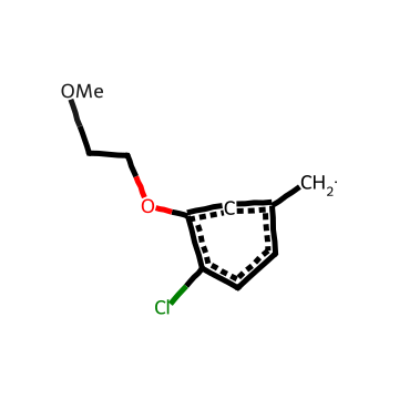 [CH2]c1ccc(Cl)c(OCCOC)c1